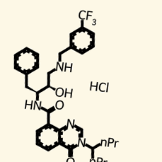 CCCC(CCC)n1cnc2c(C(=O)N[C@@H](Cc3ccccc3)[C@H](O)CNCc3cccc(C(F)(F)F)c3)cccc2c1=O.Cl